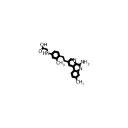 Cc1ccc2c(c1)nc(N)c1ncc(CCc3ccc(NCC(=O)O)cc3C)cc12